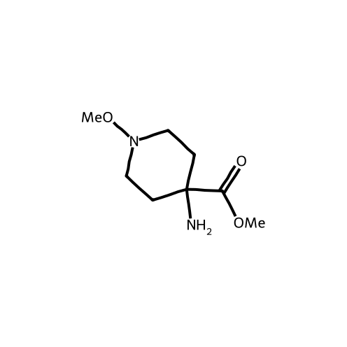 COC(=O)C1(N)CCN(OC)CC1